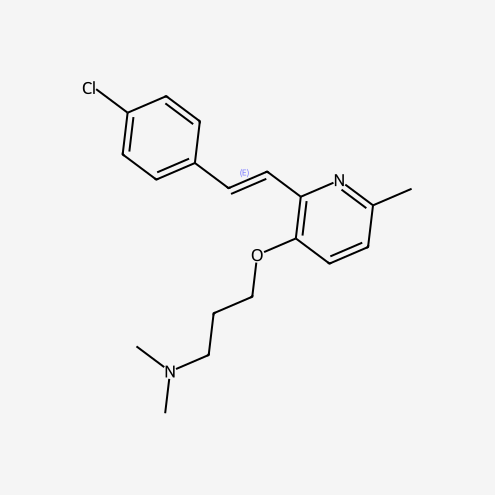 Cc1ccc(OCCCN(C)C)c(/C=C/c2ccc(Cl)cc2)n1